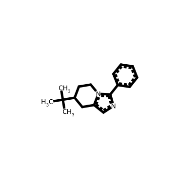 CC(C)(C)C1CCn2c(cnc2-c2ccccc2)C1